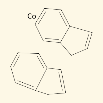 C1=Cc2ccccc2C1.C1=Cc2ccccc2C1.[Co]